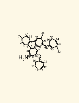 CC1C=CC(C2=CC=C(OC3=CC=CCC=C3)CC(N)=C2)=C(C2=CC(C)C=C(OC3=CC(C)C=CC=C3)C=C2)C=C1